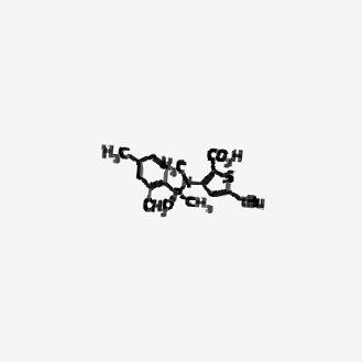 Cc1ccc(P(C)(=O)N(C)c2cc(C(C)(C)C)sc2C(=O)O)c(C)c1